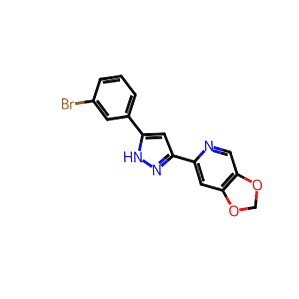 Brc1cccc(-c2cc(-c3cc4c(cn3)OCO4)n[nH]2)c1